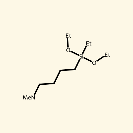 CCO[Si](CC)(CCCCNC)OCC